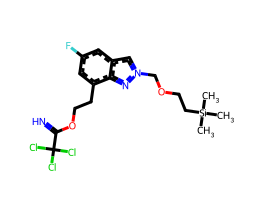 C[Si](C)(C)CCOCn1cc2cc(F)cc(CCOC(=N)C(Cl)(Cl)Cl)c2n1